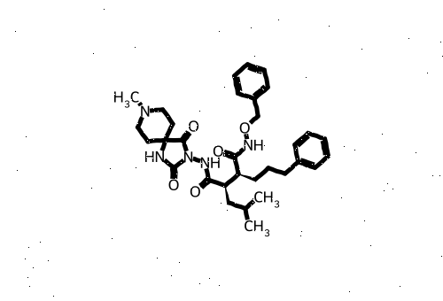 CC(C)C[C@@H](C(=O)NN1C(=O)NC2(CCN(C)CC2)C1=O)[C@H](CCCc1ccccc1)C(=O)NOCc1ccccc1